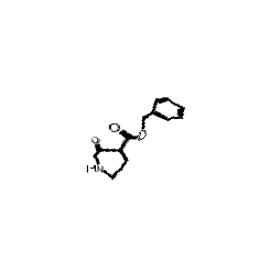 O=C1CNCCCC1C(=O)OCc1ccccc1